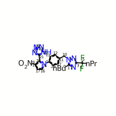 CCCCc1nc(C(F)(F)CCC)nn1Cc1ccc(-n2ccc([N+](=O)[O-])c2-c2nnn[nH]2)cc1